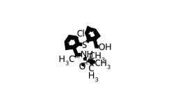 C[C@H](N[S+]([O-])C(C)(C)C)c1cccc(Cl)c1Sc1ccccc1CO